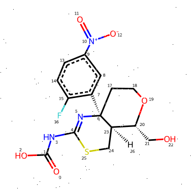 O=C(O)NC1=N[C@@]2(c3cc([N+](=O)[O-])ccc3F)CCO[C@H](CO)[C@H]2CS1